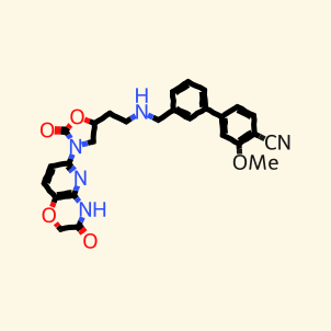 COc1cc(-c2cccc(CNCCC3CN(c4ccc5c(n4)NC(=O)CO5)C(=O)O3)c2)ccc1C#N